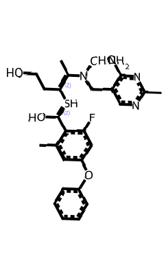 C/C(=C(CCO)/[SH]=C(\O)c1c(C)cc(Oc2ccccc2)cc1F)N(C=O)Cc1cnc(C)nc1N